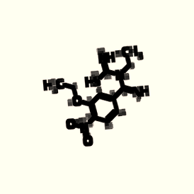 CCOc1cc(C(=N)N(CC)C(=N)S)ccc1[N+](=O)[O-]